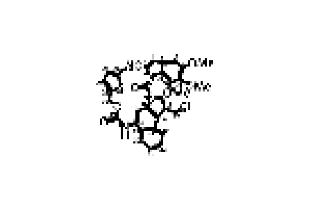 COc1cc2ccn(C(=O)N3CC(CCl)c4c3cc(NC(=O)OCc3ccc([N+](=O)[O-])s3)c3ccccc43)c2c(OC)c1OC